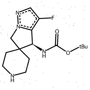 CC(C)(C)OC(=O)N[C@@H]1c2c(F)cnn2CC12CCNCC2